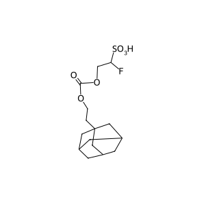 O=C(OCCC12CC3CC(CC(C3)C1)C2)OCC(F)S(=O)(=O)O